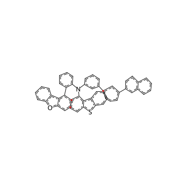 c1cc(-c2cccc(N(c3ccccc3-c3cccc4oc5ccccc5c34)c3cccc4sc5ccccc5c34)c2)cc(-c2ccc3ccccc3c2)c1